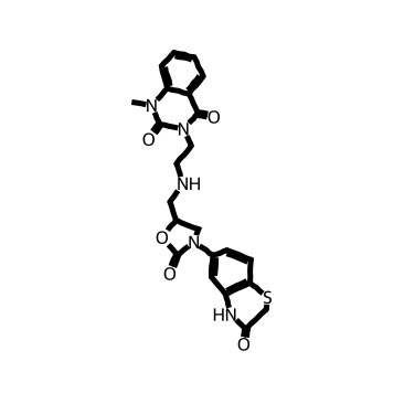 Cn1c(=O)n(CCNCC2CN(c3ccc4c(c3)NC(=O)CS4)C(=O)O2)c(=O)c2ccccc21